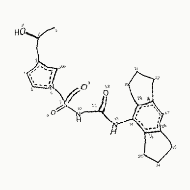 CC(O)c1ccn(S(=O)(=O)NC(=O)Nc2c3c(cc4c2CCC4)CCC3)c1